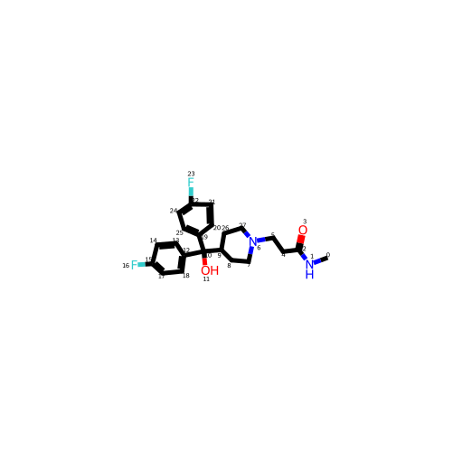 CNC(=O)CCN1CCC(C(O)(c2ccc(F)cc2)c2ccc(F)cc2)CC1